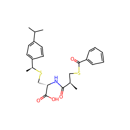 CC(C)c1ccc([C@H](C)SC[C@H](NC(=O)[C@H](C)CSC(=O)c2ccccc2)C(=O)O)cc1